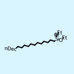 CCCCCCCCCCCCCCCCCCCCCC[SiH](OCC)OCC